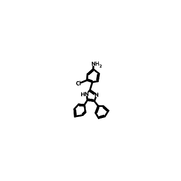 Nc1ccc(-c2nc(-c3ccccc3)c(-c3ccccc3)[nH]2)c(Cl)c1